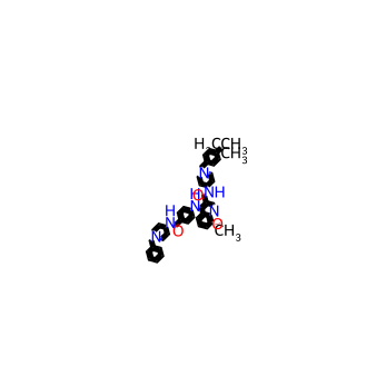 COc1cccc2c(Nc3ccc(C(=O)NC4CCN(Cc5ccccc5)CC4)cc3)c(C(=O)NC3CCN(Cc4ccc(C(C)(C)C)cc4)CC3)cnc12